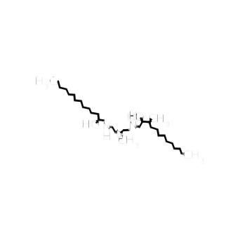 CCCCCCCCCCCCC(O)CNCCN(C)CCNCC(O)C(C)CCCCCCCCCC